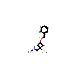 CC(C)NCC1(C)CC(OCc2ccccc2)C1